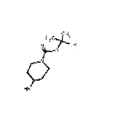 CC(C)(C)OC(=O)N1CCC([NH])CC1